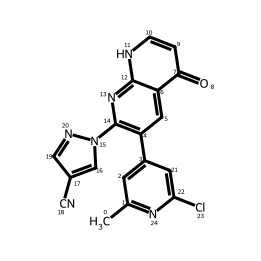 Cc1cc(-c2cc3c(=O)cc[nH]c3nc2-n2cc(C#N)cn2)cc(Cl)n1